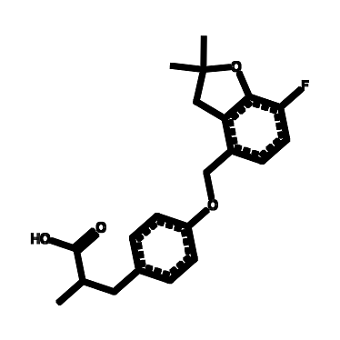 CC(Cc1ccc(OCc2ccc(F)c3c2CC(C)(C)O3)cc1)C(=O)O